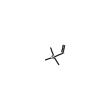 C=[C][Si](C)(C)C